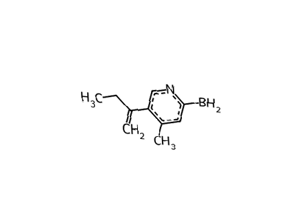 Bc1cc(C)c(C(=C)CC)cn1